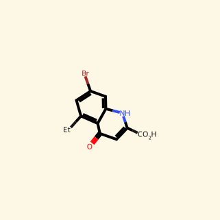 CCc1cc(Br)cc2[nH]c(C(=O)O)cc(=O)c12